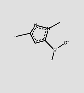 [CH2]c1cc([S+](C)[O-])n(C)n1